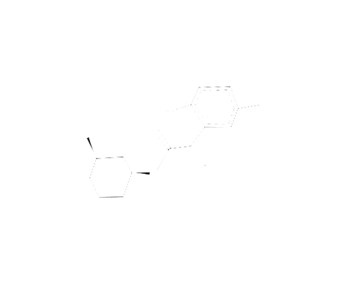 CC(C)[C@@H]1CC[C@@H](C)C[C@H]1OC(=O)[C@@H](O)c1cc(Cl)ccc1O